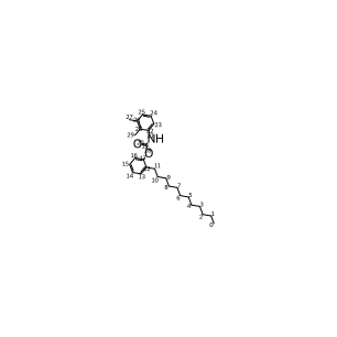 CCCCCCCCCCCCc1ccccc1OC(=O)Nc1cccc(C)c1C